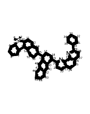 C[Si]1(C)c2ccccc2-c2c1ccc1cc(-c3ccc(-c4ccc5ccc6ccc(-c7ccccc7)nc6c5n4)c4cc5ccccc5cc34)ccc21